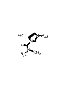 CCCCN1C=CN(C(CC)N(C)C)C1.Cl